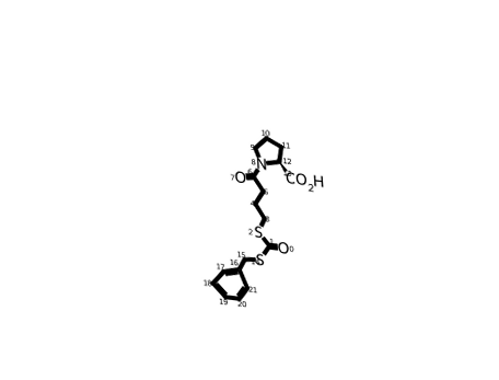 O=C(SCCCC(=O)N1CCC[C@H]1C(=O)O)SCc1ccccc1